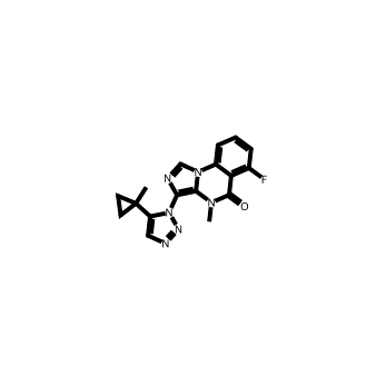 Cn1c(=O)c2c(F)cccc2n2cnc(-n3nncc3C3(C)CC3)c12